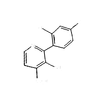 Nc1c(C(=O)O)ccnc1-c1ccc(Cl)cc1Cl